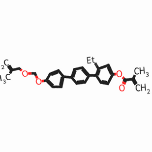 C=C(C)COCOc1ccc(-c2ccc(-c3ccc(OC(=O)C(=C)C)cc3CC)cc2)cc1